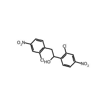 O=[N+]([O-])c1ccc(CC(O)c2ccc([N+](=O)[O-])cc2Cl)c(Cl)c1